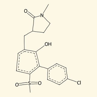 CN1CCC(Cc2ccc(S(C)(=O)=O)c(-c3ccc(Cl)cc3)c2O)C1=O